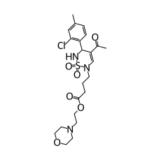 CC(=O)C1=CN(CCCC(=O)OCCN2CCOCC2)S(=O)(=O)NC1c1ccc(C)cc1Cl